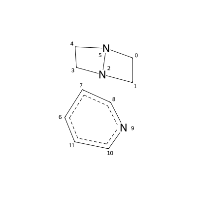 C1CN2CCN12.c1ccncc1